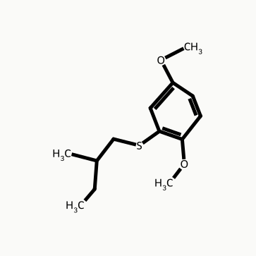 CCC(C)CSc1cc(OC)ccc1OC